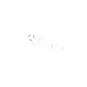 O=C(O)N[C@H]1CC[C@@H](CNc2ccccc2[N+](=O)[O-])CC1